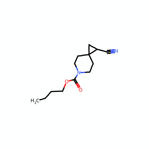 CCCCOC(=O)N1CCC2(CC1)CC2C#N